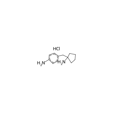 Cl.Nc1ccc(CC2(N)CCCC2)cc1